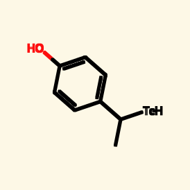 CC([TeH])c1ccc(O)cc1